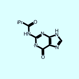 CC(C)C(=O)NC1=Nc2[nH]cnc2C(=O)[N]1